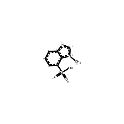 Cn1nnc2cccc(S(=O)(=O)Cl)c21